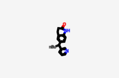 CCCCC(c1cccnc1)c1ccc2c(c1)CCC(=O)N2